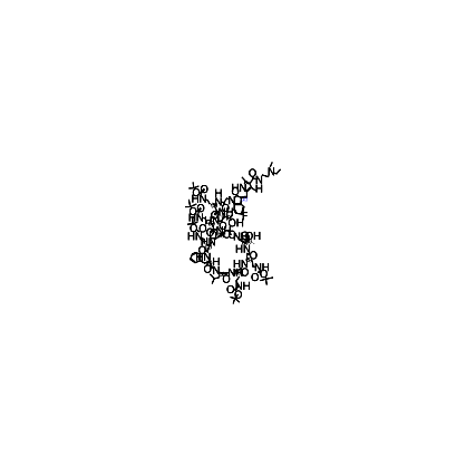 CCN(CC)CCNC(=O)c1c(C)[nH]c(/C=C2\C(=O)N(CC(=O)N[C@@H](CCNC(=O)OC(C)(C)C)C(=O)N[C@H](C(=O)N[C@@H](CCNC(=O)OC(C)(C)C)C(=O)N[C@H]3CCNC(=O)[C@H]([C@@H](C)O)NC(=O)[C@H](CCNC(=O)OC(C)(C)C)NC(=O)[C@H](CCNC(=O)OC(C)(C)C)NC(=O)[C@H](CC(C)C)NC(=O)[C@@H](Cc4ccccc4)NC(=O)[C@H](CCNC(=O)OC(C)(C)C)NC3=O)[C@@H](C)O)c3ccc(F)cc32)c1C